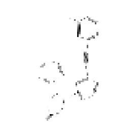 O=C1N[C@H](c2cccc(C#Cc3cncc(F)c3)c2)[C@@H](c2ccncn2)O1